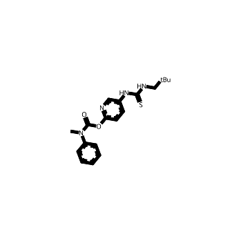 CN(C(=O)Oc1ccc(NC(=S)NCC(C)(C)C)cn1)c1ccccc1